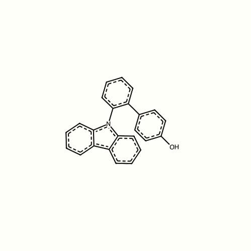 Oc1ccc(-c2ccccc2-n2c3ccccc3c3ccccc32)cc1